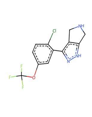 FC(F)(F)Oc1ccc(Cl)c(-c2n[nH]c3c2CNC3)c1